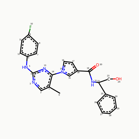 Cc1cnc(Nc2ccc(F)cc2)nc1-n1ccc(C(=O)NC(CO)c2ccccc2)c1